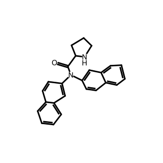 O=C(C1CCCN1)N(c1ccc2ccccc2c1)c1ccc2ccccc2c1